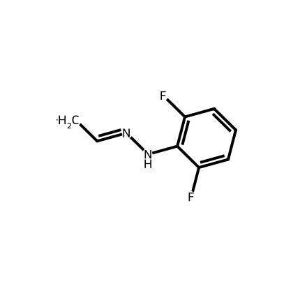 [CH2]C=NNc1c(F)cccc1F